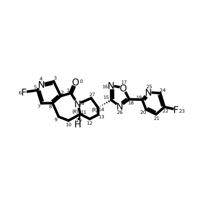 O=C1c2cnc(F)cc2CC[C@H]2CC[C@@H](c3noc(-c4ccc(F)cn4)n3)CN12